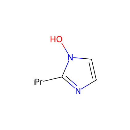 CC(C)c1nccn1O